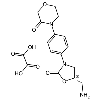 NC[C@H]1CN(c2ccc(N3CCOCC3=O)cc2)C(=O)O1.O=C(O)C(=O)O